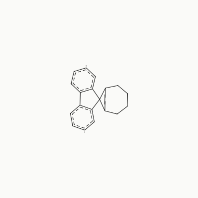 [c]1ccc2c(c1)C1(c3c[c]ccc3-2)C2CCCCC1CCCC2